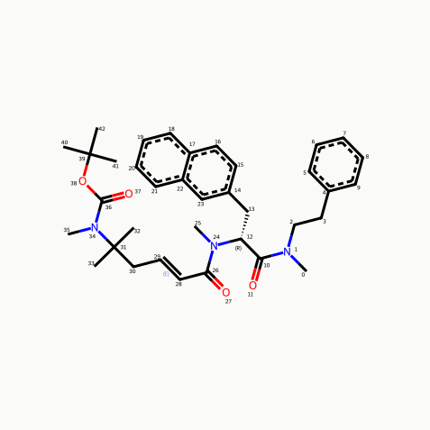 CN(CCc1ccccc1)C(=O)[C@@H](Cc1ccc2ccccc2c1)N(C)C(=O)/C=C/CC(C)(C)N(C)C(=O)OC(C)(C)C